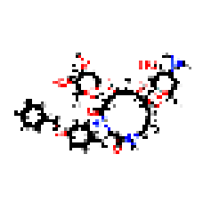 CO[C@]1(C)C[C@H](O[C@H]2[C@H](C)[C@@H](O[C@@H]3O[C@H](C)CC(N(C)C)[C@H]3O)[C@](C)(O)C[C@@H](C)CN(C)C(=O)[C@H](Cc3ccc(OCc4ccccc4)cc3)NC(=O)[C@@H]2C)O[C@@H](C)[C@@H]1O